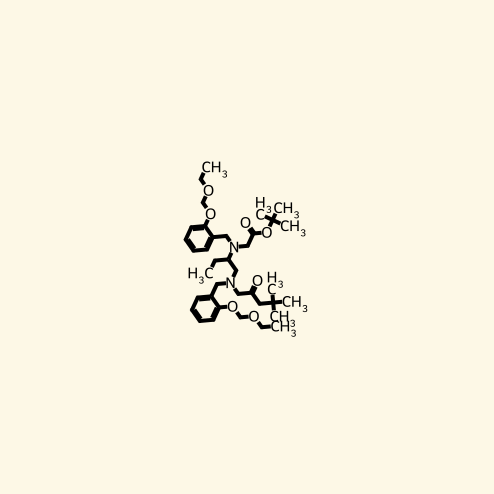 CCOCOc1ccccc1CN(CC(=O)CC(C)(C)C)CC(CC)N(CC(=O)OC(C)(C)C)Cc1ccccc1OCOCC